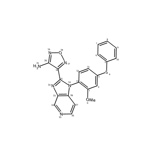 COc1cc(Sc2ccccc2)ccc1-n1c(-c2nonc2N)nc2cnccc21